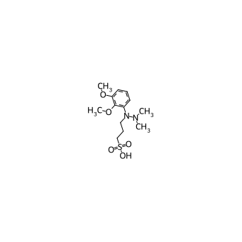 COc1cccc(N(CCCS(=O)(=O)O)N(C)C)c1OC